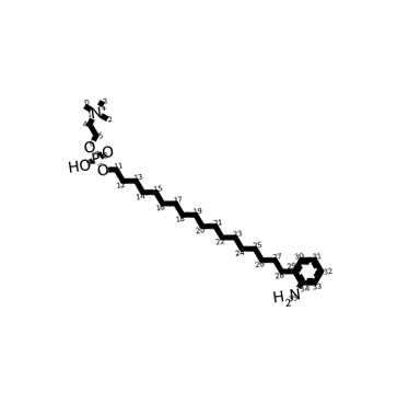 C[N+](C)(C)CCOP(=O)(O)OCCCCCCCCCCCCCCCCCCc1ccccc1N